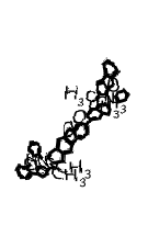 CC(C)(C)c1ccc2c(oc3ccccc32)c1N(c1ccccc1)c1ccc2cc3c(cc2c1)oc1c3ccc2c3cc4ccc(N(c5ccccc5)c5c(C(C)(C)C)ccc6c5oc5ccccc56)cc4cc3oc21